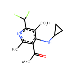 COC(=O)c1c(C(F)(F)F)nc(C(F)F)c(C(=O)O)c1NC1CC1